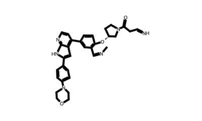 C/N=C\c1cc(-c2ccnc3[nH]c(-c4ccc(N5CCOCC5)cc4)cc23)ccc1O[C@@H]1CCN(C(=O)CC=N)C1